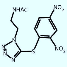 CC(=O)NCCn1nnnc1Sc1ccc([N+](=O)[O-])cc1[N+](=O)[O-]